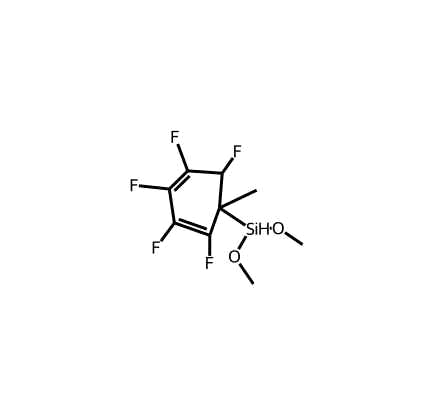 CO[SiH](OC)C1(C)C(F)=C(F)C(F)=C(F)C1F